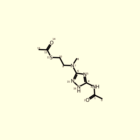 CC(=O)Nc1nc(N(C)CCSC(C)=O)n[nH]1